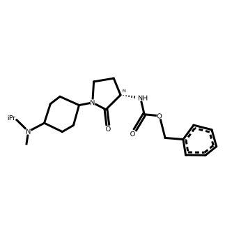 CC(C)N(C)C1CCC(N2CC[C@H](NC(=O)OCc3ccccc3)C2=O)CC1